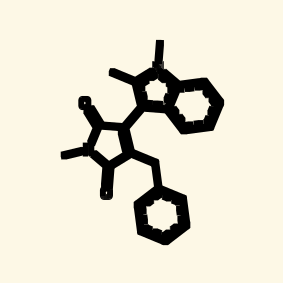 Cc1c(C2=C(Cc3ccccc3)C(=O)N(C)C2=O)c2ccccc2n1C